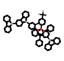 FC(F)(F)c1ccc(-n2c3ccccc3c3cc(-n4c5ccccc5c5ccccc54)ccc32)c(-c2cc(-n3c4ccccc4c4cc(-n5c6ccccc6c6ccccc65)ccc43)ccc2-c2nc(-c3ccccc3)nc(-c3ccccc3)n2)c1